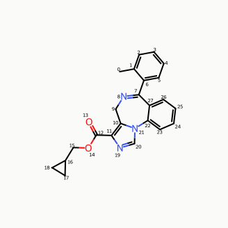 Cc1ccccc1C1=NCc2c(C(=O)OCC3CC3)ncn2-c2ccccc21